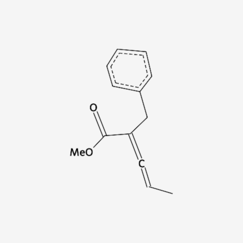 CC=C=C(Cc1ccccc1)C(=O)OC